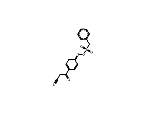 N#CCC(=O)C1=CCC(=NOS(=O)(=O)Cc2ccccc2)C=C1